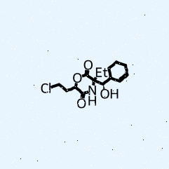 CCC1([C@@H](O)C2C=CCCC2)NC(=O)C(CCCl)OC1=O